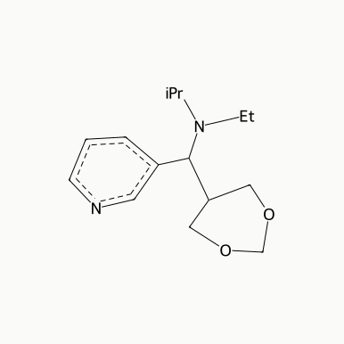 CCN(C(C)C)C(c1cccnc1)C1COCOC1